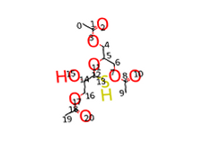 CC(=O)OCC(COC(C)=O)O[C@@H](S)[C@@H](O)COC(C)=O